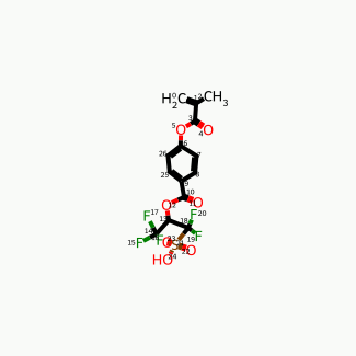 C=C(C)C(=O)Oc1ccc(C(=O)OC(C(F)(F)F)C(F)(F)S(=O)(=O)O)cc1